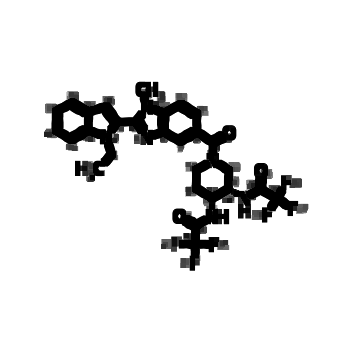 CCn1c(-c2nc3cc(C(=O)N4CC[C@@H](NC(=O)C(F)(F)F)[C@@H](NC(=O)C(F)(F)F)C4)ccc3n2C)cc2ccccc21